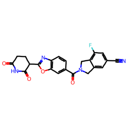 N#Cc1cc(F)c2c(c1)CN(C(=O)c1ccc3nc(C4CCC(=O)NC4=O)oc3c1)C2